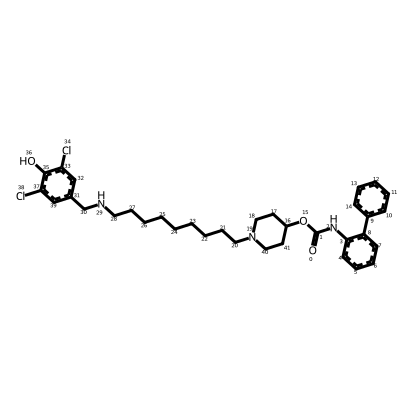 O=C(Nc1ccccc1-c1ccccc1)OC1CCN(CCCCCCCCCNCc2cc(Cl)c(O)c(Cl)c2)CC1